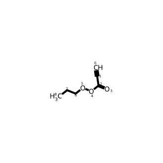 C#CC(=O)OOCCC